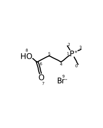 C[P+](C)(C)CCC(=O)O.[Br-]